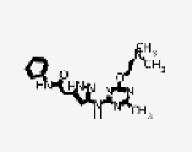 Cc1nc(Nc2cc(CC(=O)Nc3ccccc3)[nH]n2)nc(OCCN(C)C)n1